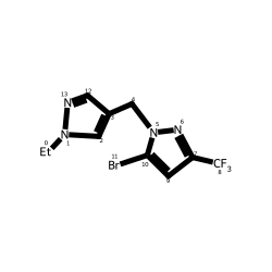 CCn1cc(Cn2nc(C(F)(F)F)cc2Br)cn1